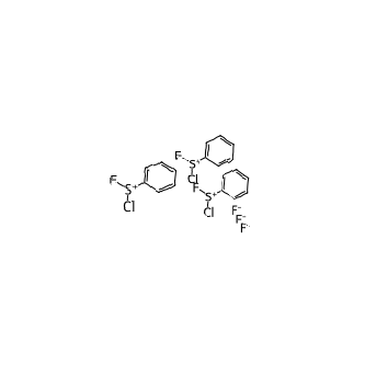 F[S+](Cl)c1ccccc1.F[S+](Cl)c1ccccc1.F[S+](Cl)c1ccccc1.[F-].[F-].[F-]